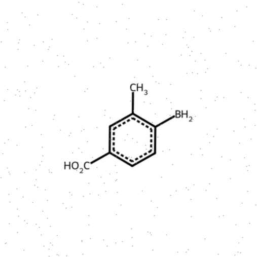 Bc1ccc(C(=O)O)cc1C